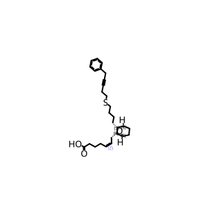 O=C(O)CCC/C=C\C[C@@H]1[C@H](CCCCSCCC#CCc2ccccc2)[C@@H]2CC[C@H]1O2